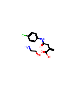 C=C(CC(=O)Nc1ccc(Cl)cc1)C(=O)O.NCCO